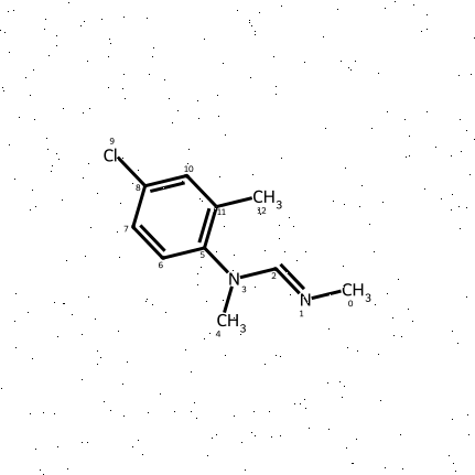 CN=CN(C)c1ccc(Cl)cc1C